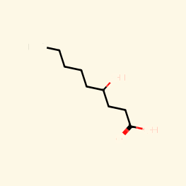 CCCCCC(O)CCC(=O)O